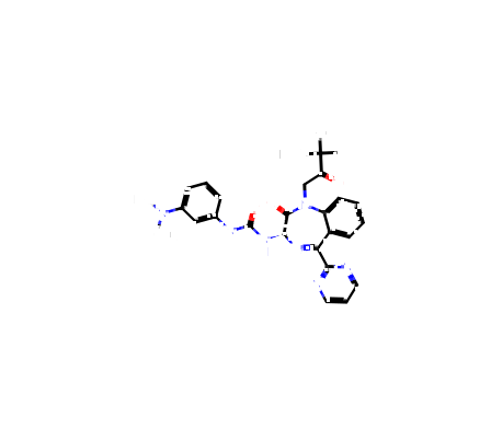 CN(C)c1cccc(NC(=O)N[C@@H]2N=C(c3ncccn3)c3ccccc3N(CC(=O)C(C)(C)C)C2=O)c1